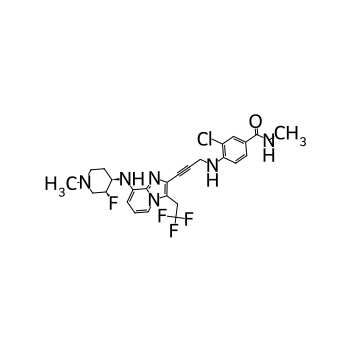 CNC(=O)c1ccc(NCC#Cc2nc3c(N[C@@H]4CCN(C)C[C@@H]4F)cccn3c2CC(F)(F)F)c(Cl)c1